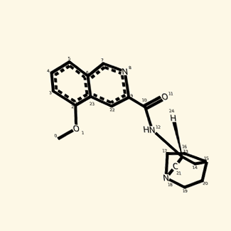 COc1cccc2cnc(C(=O)N[C@@H]3CC4CCN(CC4)C3)cc12